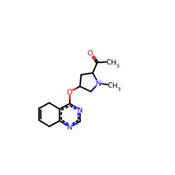 CC(=O)C1CC(Oc2ncnc3c2CC=CC3)CN1C